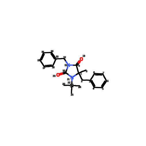 CC1(Cc2ccccc2)C(=O)N(Cc2ccccc2)C(=O)N1[Si](C)(C)C